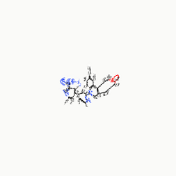 Nc1cc(-c2ccnc(N(CC3CCOCC3)c3ccccc3)c2)ccn1